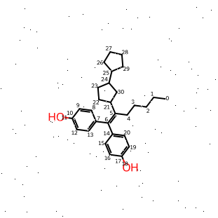 CCCCCC(=C(c1ccc(O)cc1)c1ccc(O)cc1)C1CCC(C2CCCC2)C1